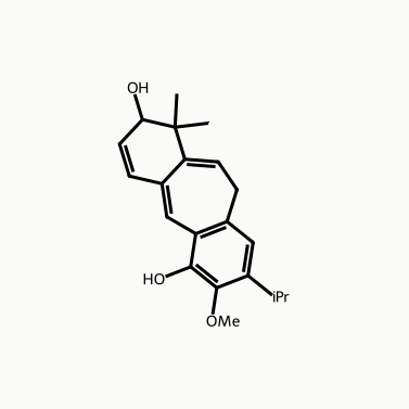 COc1c(C(C)C)cc2c(c1O)C=C1C=CC(O)C(C)(C)C1=CC2